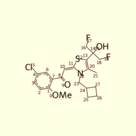 COc1ccc(Cl)cc1C(=O)C=C1SC(C(O)(CF)CF)=C(C)N1CC1CCC1